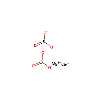 O=[Si]([O-])[O-].O=[Si]([O-])[O-].[Ca+2].[Mg+2]